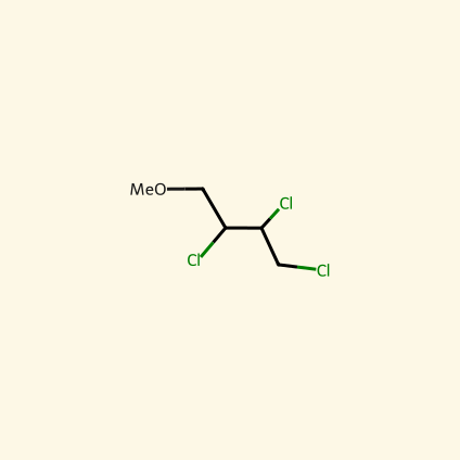 [CH2]OCC(Cl)C(Cl)CCl